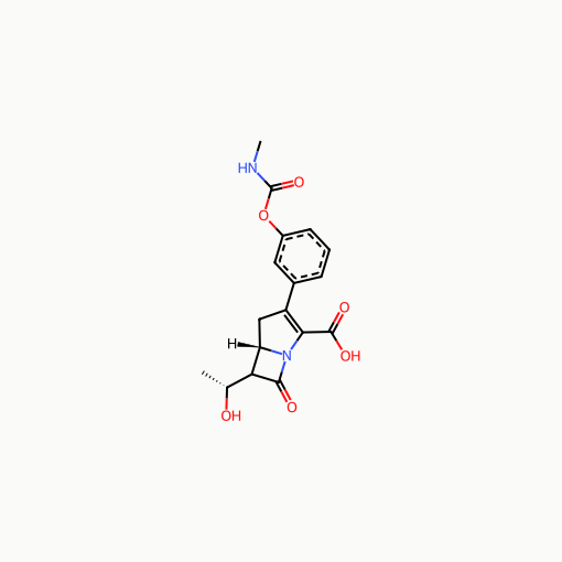 CNC(=O)Oc1cccc(C2=C(C(=O)O)N3C(=O)C([C@@H](C)O)[C@@H]3C2)c1